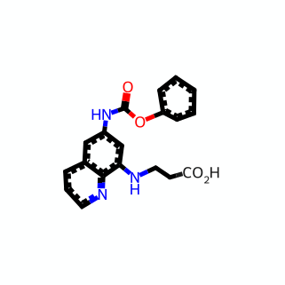 O=C(O)CCNc1cc(NC(=O)Oc2ccccc2)cc2cccnc12